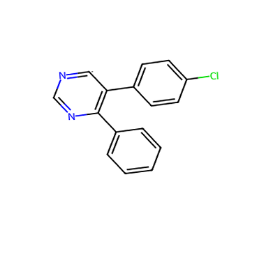 Clc1ccc(-c2[c]ncnc2-c2ccccc2)cc1